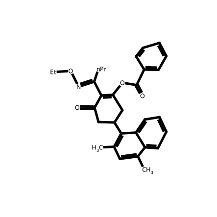 CCCC(=NOCC)C1=C(OC(=O)c2ccccc2)CC(c2c(C)cc(C)c3ccccc23)CC1=O